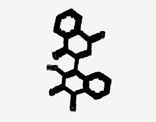 O=C1C(=O)c2ccccc2C(C2=CC(=O)c3ccccc3C2=O)=C1O